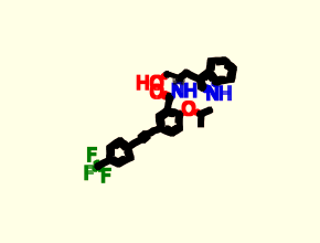 CC(C)Oc1ccc(C#Cc2ccc(C(F)(F)F)cc2)cc1C(=O)N[C@@H](CO)Cc1c[nH]c2ccccc12